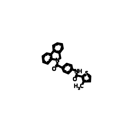 Cc1ccsc1C(=O)Nc1ccc(C(=O)N2Cc3ccccc3-c3ccccc32)cc1